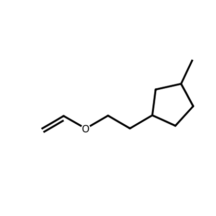 C=COCCC1CCC(C)C1